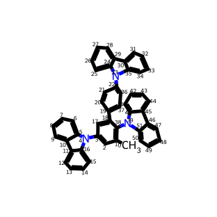 Cc1cc(-n2c3ccccc3c3ccccc32)cc(-c2ccc(-n3c4ccccc4c4ccccc43)cc2)c1-n1c2ccccc2c2ccccc21